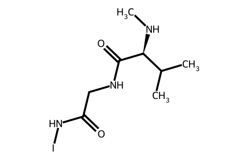 CN[C@H](C(=O)NCC(=O)NI)C(C)C